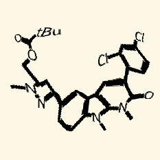 Cn1nc(-c2ccc3c(c2)c2cc(-c4ccc(Cl)cc4Cl)c(=O)n(C)c2n3C)cc1COC(=O)C(C)(C)C